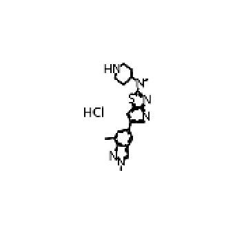 Cc1cc(-c2cnc3nc(N(C)C4CCNCC4)sc3c2)cc2cn(C)nc12.Cl